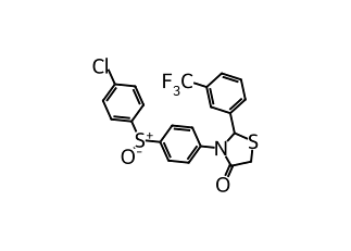 O=C1CSC(c2cccc(C(F)(F)F)c2)N1c1ccc([S+]([O-])c2ccc(Cl)cc2)cc1